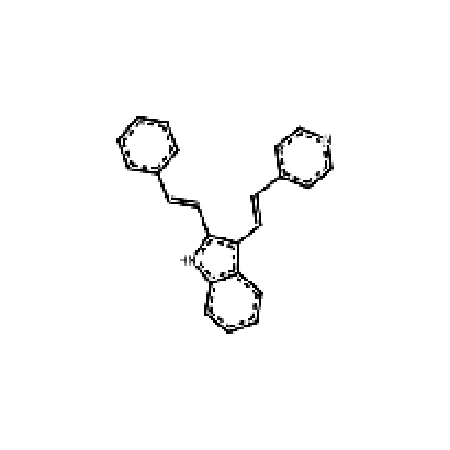 C(=C\c1[nH]c2ccccc2c1/C=C/c1ccncc1)/c1ccccc1